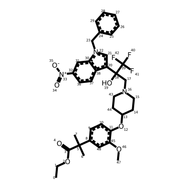 CCOC(=O)C(C)(C)c1ccc(OC2CCN(CC(O)(c3cn(Cc4ccccc4)c4cc([N+](=O)[O-])ccc34)C(F)(F)F)CC2)c(OC)c1